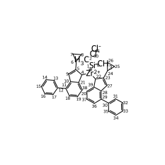 C[Si](C)=[Zr+2]([CH]1C(C2CC2)=Cc2c(-c3ccccc3)cccc21)[CH]1C(C2CC2)=Cc2c(-c3ccccc3)cccc21.[Cl-].[Cl-]